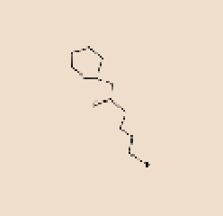 FCCCCC(F)CC1CCCCC1